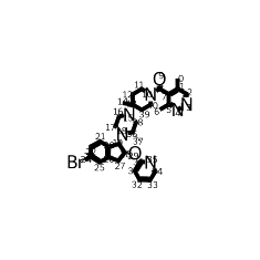 Cc1cnnc(C)c1C(=O)N1CCC(C)(N2CCN([C@@H]3c4ccc(Br)cc4C[C@H]3Oc3ccccn3)[C@@H](C)C2)CC1